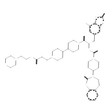 Cc1cc(C[C@@H](OC(=O)N2CCC(N3CCc4ccccc4NC3=O)CC2)C(=O)N2CCC(C3CCN(CCC(=O)OCCN4CCOCC4)CC3)CC2)cc2oc(=O)[nH]c12